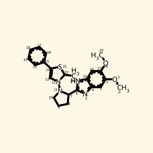 COc1cc2nc(C3CCCN3N3[C]=C(c4ccccc4)SC3C)[nH]c2cc1OC